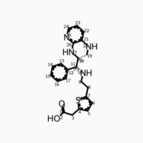 O=C(O)Cc1ccc(CCN[C@H](c2ccccc2)[C@H]2CNc3cccnc3N2)s1